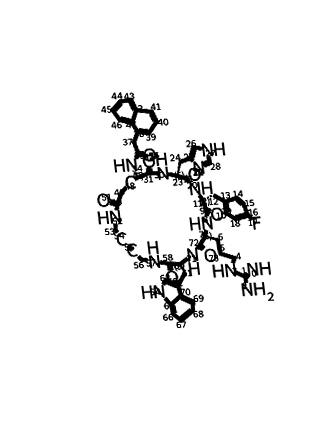 N=C(N)NCCC[C@@H]1NC(=O)[C@@H](Cc2ccc(F)cc2)NC(=O)[C@H](Cc2c[nH]cn2)NC(=O)[C@@H](NC(=O)Cc2cccc3ccccc23)CCC(=O)NCCCCNC(=O)[C@H](Cc2c[nH]c3ccccc23)NC1=O